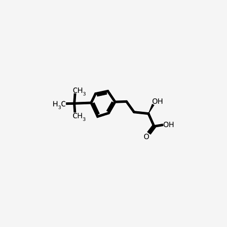 CC(C)(C)c1ccc(CC[C@@H](O)C(=O)O)cc1